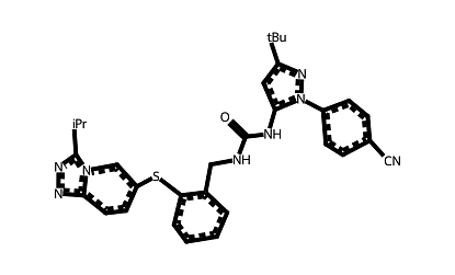 CC(C)c1nnc2ccc(Sc3ccccc3CNC(=O)Nc3cc(C(C)(C)C)nn3-c3ccc(C#N)cc3)cn12